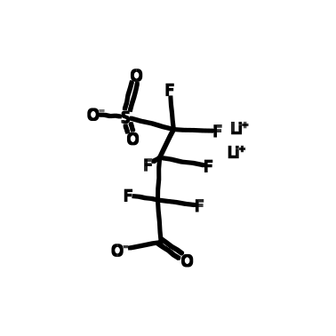 O=C([O-])C(F)(F)C(F)(F)C(F)(F)S(=O)(=O)[O-].[Li+].[Li+]